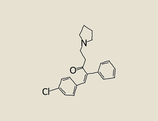 O=C(CCN1CCCC1)/C(=C\c1ccc(Cl)cc1)c1ccccc1